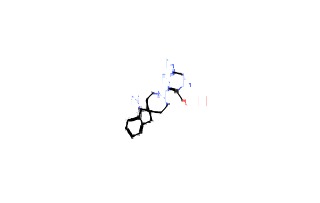 Nc1cnc(CO)c(N2CCC3(CC2)Cc2ccccc2[C@H]3N)n1